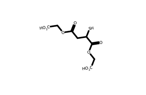 O=C(O)COC(=O)CC(S)C(=O)OCC(=O)O